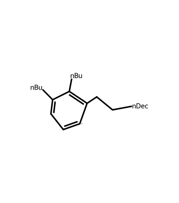 CCCCCCCCCCCCc1[c]ccc(CCCC)c1CCCC